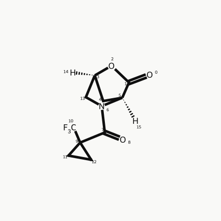 O=C1O[C@H]2C[C@@H]1N(C(=O)C1(C(F)(F)F)CC1)C2